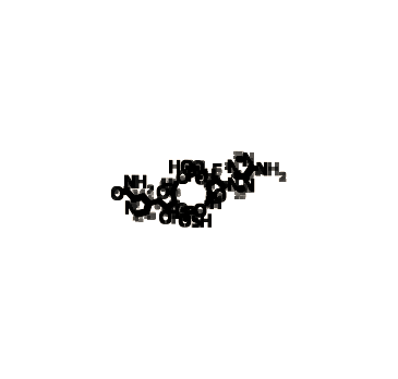 NC(=O)c1cc(C2O[C@@H]3COP(=O)(O)O[C@H]4[C@@H](F)[C@H](n5cnc6c(N)ncnc65)O[C@@H]4COP(=O)(S)O[C@H]3[C@H]2O)ccn1